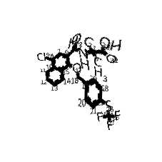 CC(C)(NC(=O)c1cc(Cl)c2ccccc2c1OCc1ccc(SC(F)(F)F)cc1)C(=O)O